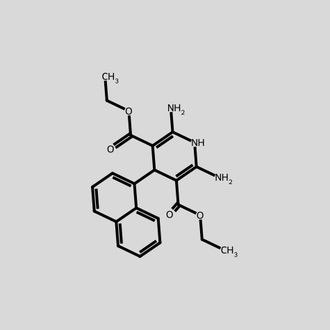 CCOC(=O)C1=C(N)NC(N)=C(C(=O)OCC)C1c1cccc2ccccc12